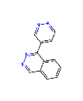 [c]1nnccc1-c1nncc2ccccc12